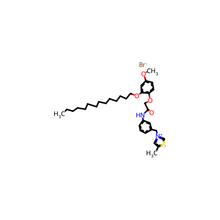 CCCCCCCCCCCCCCOc1cc(OC)ccc1OCC(=O)Nc1cccc(C[n+]2csc(C)c2)c1.[Br-]